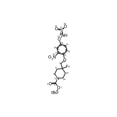 CC(C)(C)OC(=O)N1CCC(F)(COc2ccc(ON[SH](=O)=O)cc2[N+](=O)[O-])CC1